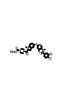 Cc1cc(Oc2ccc3c(c2)cc(C(=O)N2CCN(C(=O)OC(C)(C)C)CC2)n3C)ncc1N(C)C(=O)c1ccc(Cl)c(Cl)c1